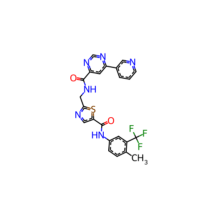 Cc1ccc(NC(=O)c2cnc(CNC(=O)c3cc(-c4cccnc4)ncn3)s2)cc1C(F)(F)F